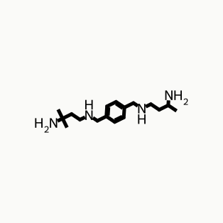 CC(N)CCNCc1ccc(CNCCC(C)(C)N)cc1